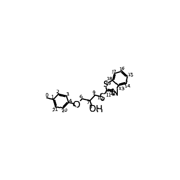 Cc1ccc(OCC(O)CSc2nc3ccccc3s2)cc1